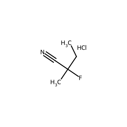 CCC(C)(F)C#N.Cl